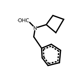 O=[C]N(Cc1ccccc1)C1CCC1